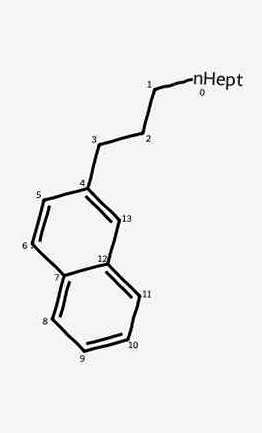 CCCCCCCCCCc1c[c]c2ccccc2c1